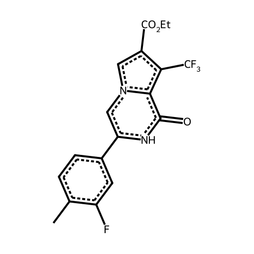 CCOC(=O)c1cn2cc(-c3ccc(C)c(F)c3)[nH]c(=O)c2c1C(F)(F)F